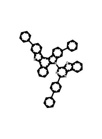 c1ccc(-c2ccc(-c3nc(-n4c5cc(-c6ccccc6)ccc5c5c6c7ccc(-c8ccccc8)cc7sc6c6ccccc6c54)c4oc5ccccc5c4n3)cc2)cc1